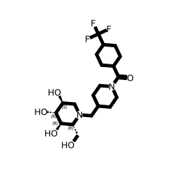 O=C(C1CCC(C(F)(F)F)CC1)N1CCC(CN2C[C@H](O)[C@@H](O)[C@H](O)[C@H]2CO)CC1